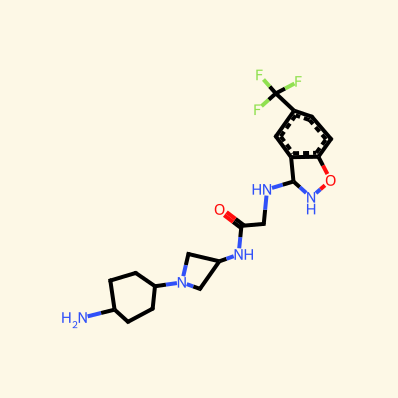 NC1CCC(N2CC(NC(=O)CNC3NOc4ccc(C(F)(F)F)cc43)C2)CC1